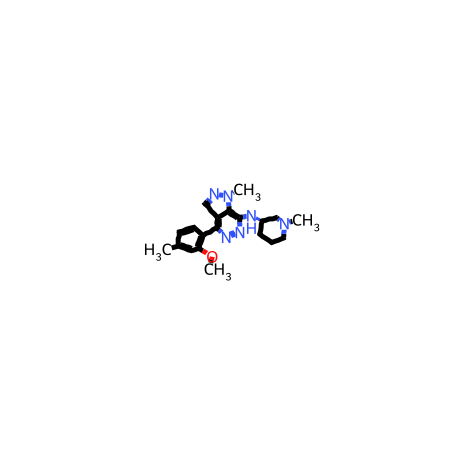 COc1cc(C)ccc1-c1nnc(N[C@@H]2CCCN(C)C2)c2c1cnn2C